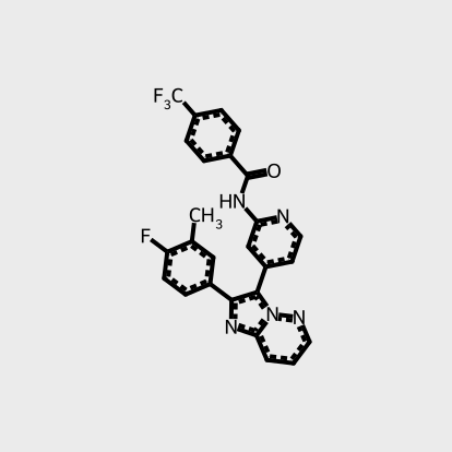 Cc1cc(-c2nc3cccnn3c2-c2ccnc(NC(=O)c3ccc(C(F)(F)F)cc3)c2)ccc1F